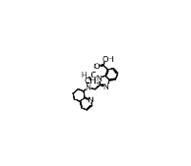 CN(Cc1nc2cccc(C(=O)O)c2n1C)C1CCCc2cccnc21